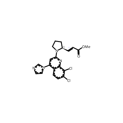 COC(=O)/C=C/[C@@H]1CCCN1c1cc(-n2ccnc2)c2ccc(Cl)c(Cl)c2n1